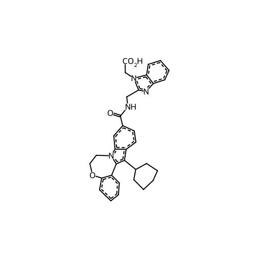 O=C(O)Cn1c(CNC(=O)c2ccc3c(C4CCCCC4)c4n(c3c2)CCOc2ccccc2-4)nc2ccccc21